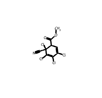 COC(=O)C1C=C(Cl)C(Cl)=C(Cl)C1(Cl)C#N